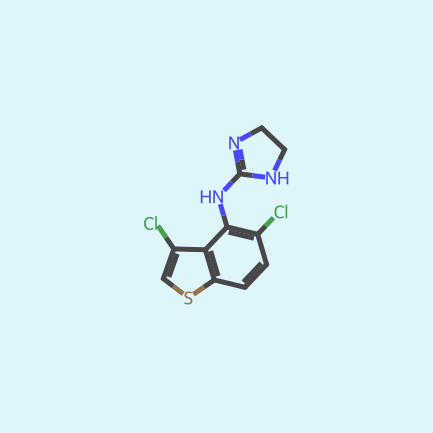 Clc1ccc2scc(Cl)c2c1NC1=NCCN1